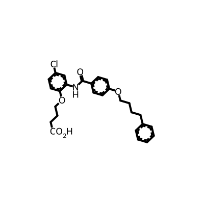 O=C(O)CCCOc1ccc(Cl)cc1NC(=O)c1ccc(OCCCCc2ccccc2)cc1